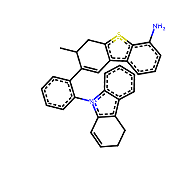 CC1Cc2sc3c(N)cccc3c2C=C1c1ccccc1-n1c2c(c3ccccc31)CCC=C2